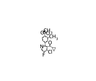 Cc1cc(-c2ncc(F)c(Cl)c2C(=O)C2CC2)ccc1S(C)(=O)=O